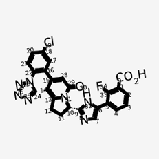 O=C(O)c1cccc(-c2cnc([C@@H]3CCc4cc(-c5cc(Cl)ccc5-n5cnnn5)cc(=O)n43)[nH]2)c1F